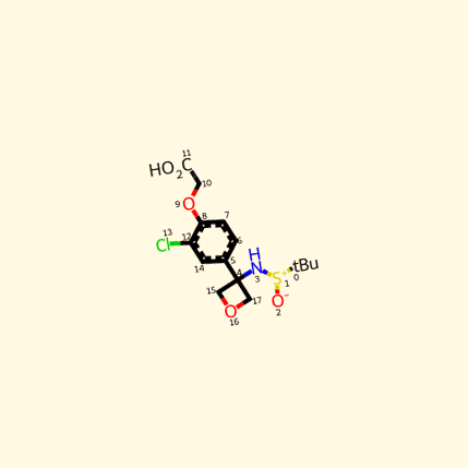 CC(C)(C)[S+]([O-])NC1(c2ccc(OCC(=O)O)c(Cl)c2)COC1